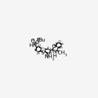 CC(NC(=O)c1ccc(Sc2ccc(NC(=O)OC(C)(C)C)cc2)c(N)c1)c1ccccc1